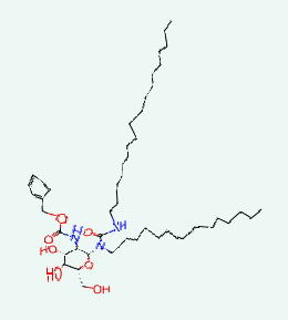 CCCCCCCCCCCCCCCCCCNC(=O)N(CCCCCCCCCCCCCC)[C@@H]1O[C@H](CO)[C@@H](O)[C@H](O)[C@H]1NC(=O)OCc1ccccc1